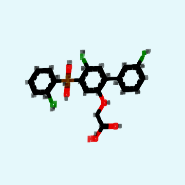 O=C(O)COc1cc(S(=O)(=O)c2ccccc2Cl)c(F)cc1-c1cccc(F)c1